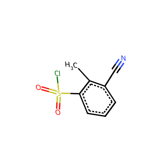 Cc1c(C#N)cccc1S(=O)(=O)Cl